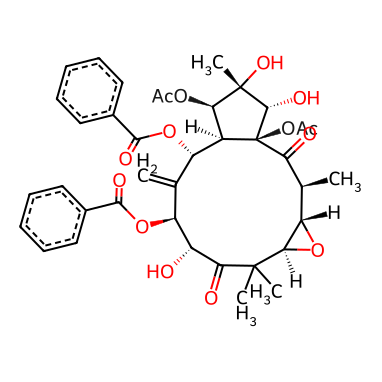 C=C1[C@H](OC(=O)c2ccccc2)[C@H]2[C@@H](OC(C)=O)[C@](C)(O)[C@H](O)[C@]2(OC(C)=O)C(=O)[C@@H](C)[C@@H]2O[C@H]2C(C)(C)C(=O)[C@H](O)[C@H]1OC(=O)c1ccccc1